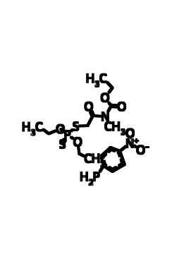 CCOC(=O)N(C)C(=O)CSP(=S)(OCC)OCC.O=[N+]([O-])c1ccc(P)cc1